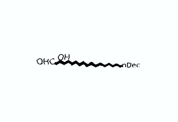 CCCCCCCCCCCCCCCCCCCCCCCCCC(O)CC=O